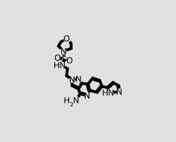 Nc1nc2cc(-c3ccn[nH]3)ccc2c2nn(CCNS(=O)(=O)N3CCOCC3)cc12